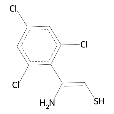 N/C(=C\S)c1c(Cl)cc(Cl)cc1Cl